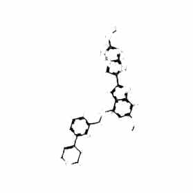 COc1cc(OCc2cccc(C3=CCOCC3)c2)c2cc(-c3cn4nc(OC)sc4n3)oc2c1